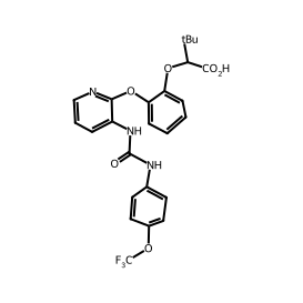 CC(C)(C)C(Oc1ccccc1Oc1ncccc1NC(=O)Nc1ccc(OC(F)(F)F)cc1)C(=O)O